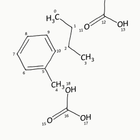 CCCC.Cc1ccccc1.O=C(O)O.O=C(O)O